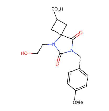 COc1ccc(CN2C(=O)N(CCO)C3(CC(C(=O)O)C3)C2=O)cc1